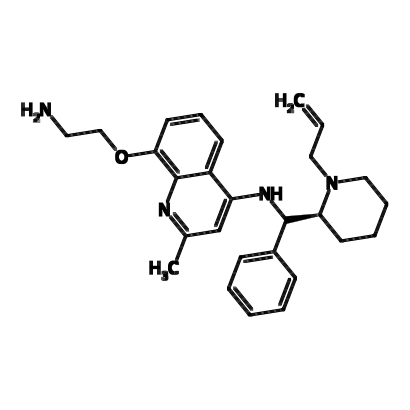 C=CCN1CCCC[C@H]1C(Nc1cc(C)nc2c(OCCN)cccc12)c1ccccc1